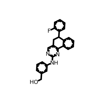 OCc1cccc(Nc2ncc3c(n2)-c2ccccc2C(c2ccccc2F)C3)c1